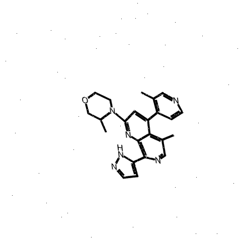 Cc1cnccc1-c1cc(N2CCOCC2C)nc2c(-c3ccn[nH]3)ncc(C)c12